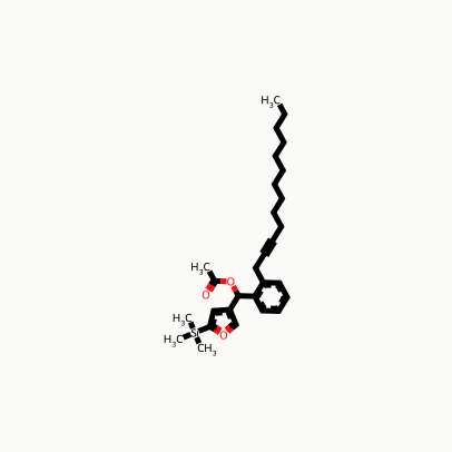 CCCCCCCCCCC#CCc1ccccc1C(OC(C)=O)c1coc([Si](C)(C)C)c1